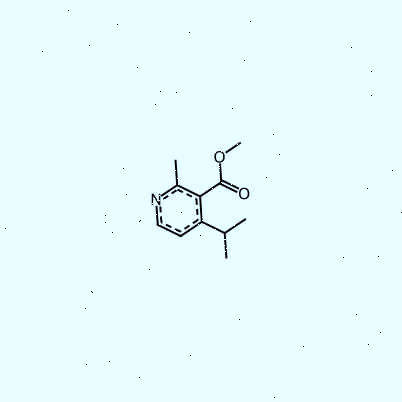 COC(=O)c1c(C(C)C)ccnc1C